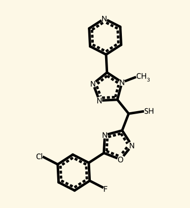 Cn1c(-c2ccncc2)nnc1C(S)c1noc(-c2cc(Cl)ccc2F)n1